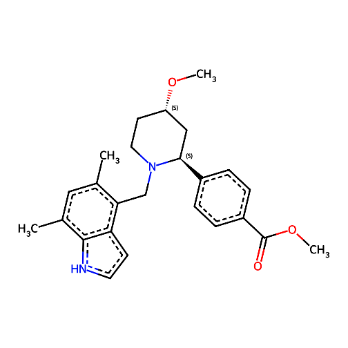 COC(=O)c1ccc([C@@H]2C[C@@H](OC)CCN2Cc2c(C)cc(C)c3[nH]ccc23)cc1